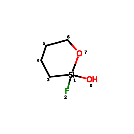 O[Si]1(F)CCCCO1